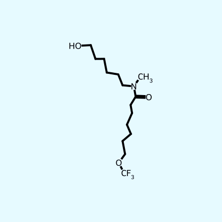 CN(CCCCCCO)C(=O)CCCCCCOC(F)(F)F